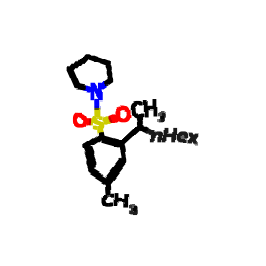 CCCCCCC(C)c1cc(C)ccc1S(=O)(=O)N1CCCCC1